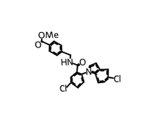 COC(=O)c1ccc(CNC(=O)c2cc(Cl)ccc2-n2ccc3cc(Cl)ccc32)cc1